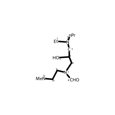 CCCN(CC)CC(O)CN(C=O)CCNC